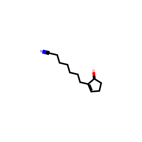 N#CCCCCCCC1=CCCC1=O